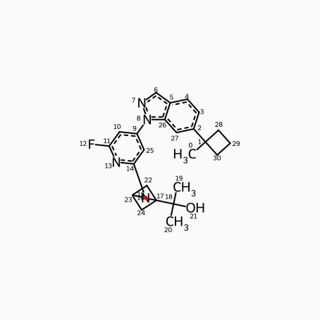 CC1(c2ccc3cnn(-c4cc(F)nc(N5CC6(C(C)(C)O)CC5C6)c4)c3c2)CCC1